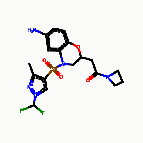 Cc1nn(C(F)F)cc1S(=O)(=O)N1CC(CC(=O)N2CCC2)Oc2ccc(N)cc21